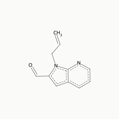 C=CCn1c(C=O)cc2cccnc21